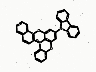 O=P12c3ccccc3Oc3cc(-n4c5ccccc5c5ccccc54)cc(c31)Oc1c2ccc2ccccc12